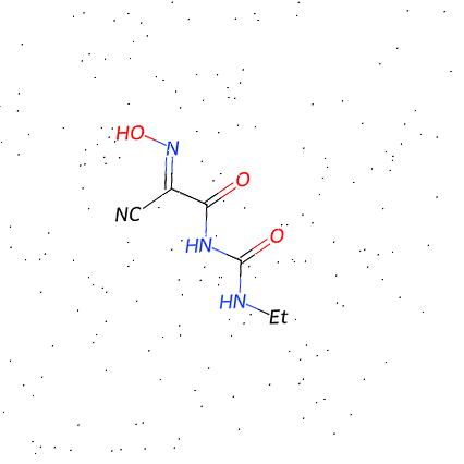 CCNC(=O)NC(=O)/C(C#N)=N/O